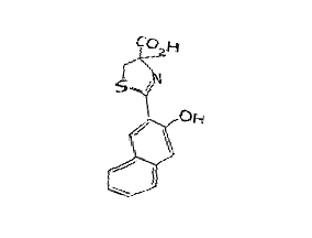 CC1(C(=O)O)CSC(c2cc3ccccc3cc2O)=N1